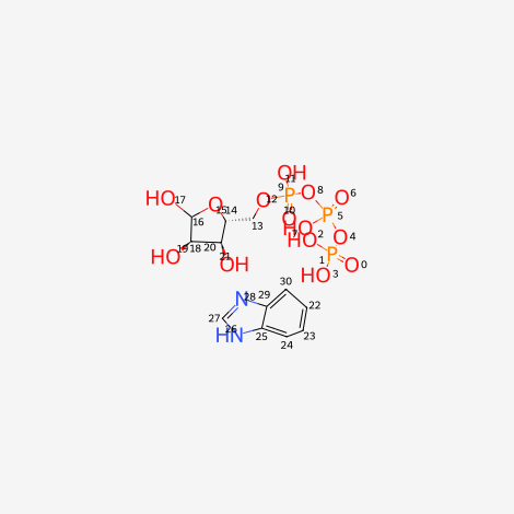 O=P(O)(O)OP(=O)(O)OP(=O)(O)OC[C@H]1OC(O)[C@H](O)[C@@H]1O.c1ccc2[nH]cnc2c1